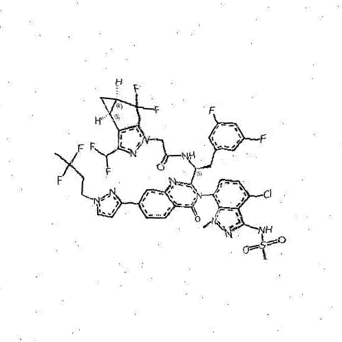 Cn1nc(NS(C)(=O)=O)c2c(Cl)ccc(-n3c([C@H](Cc4cc(F)cc(F)c4)NC(=O)Cn4nc(C(F)F)c5c4C(F)(F)[C@@H]4C[C@H]54)nc4cc(-c5ccn(CCC(C)(F)F)n5)ccc4c3=O)c21